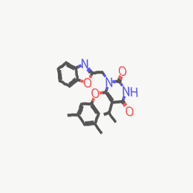 Cc1cc(C)cc(Oc2c(C(C)C)c(=O)[nH]c(=O)n2Cc2nc3ccccc3o2)c1